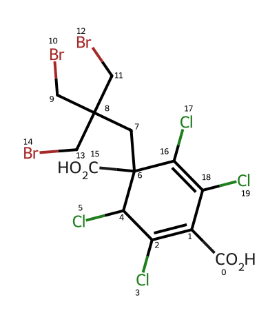 O=C(O)C1=C(Cl)C(Cl)C(CC(CBr)(CBr)CBr)(C(=O)O)C(Cl)=C1Cl